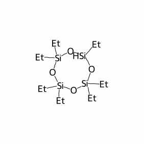 CC[SiH]1O[Si](CC)(CC)O[Si](CC)(CC)O[Si](CC)(CC)O1